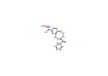 O=C(NO)c1ccc2c(c1)CCN(C(=O)c1ccccc1)CCO2